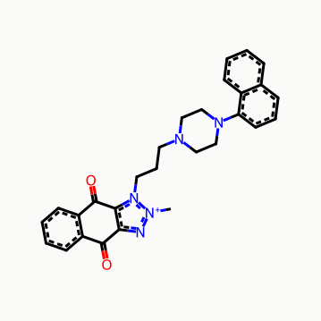 C[n+]1nc2c(n1CCCN1CCN(c3cccc4ccccc34)CC1)C(=O)c1ccccc1C2=O